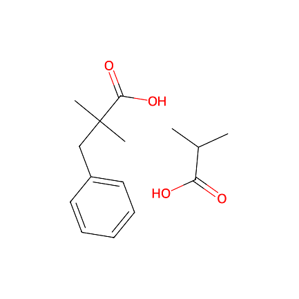 CC(C)(Cc1ccccc1)C(=O)O.CC(C)C(=O)O